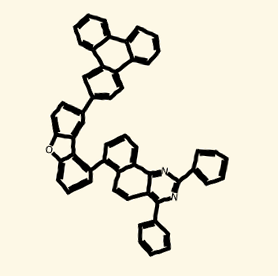 c1ccc(-c2nc(-c3ccccc3)c3ccc4c(-c5cccc6oc7ccc(-c8ccc9c%10ccccc%10c%10ccccc%10c9c8)cc7c56)cccc4c3n2)cc1